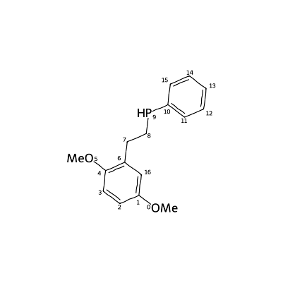 COc1ccc(OC)c(CCPc2ccccc2)c1